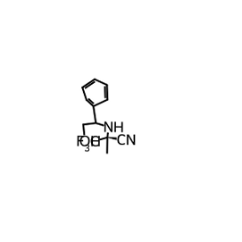 C[C@@](C#N)(NC(CO)c1ccccc1)C(F)(F)F